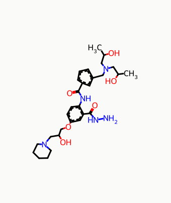 CC(O)CN(Cc1cccc(C(=O)Nc2ccc(OCC(O)CN3CCCCC3)cc2C(=O)NN)c1)CC(C)O